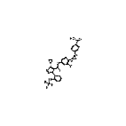 [2H]C(Oc1ccc([C@@H]2C[C@@H]2c2ccc(C(=O)O)cc2)c(Cl)c1)c1c(-c2ccccc2OC(F)(F)F)noc1C1CC1